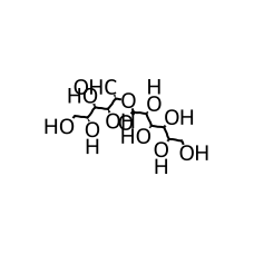 O=C[C@H](OC(=O)[C@H](O)[C@@H](O)[C@@H](O)[C@H](O)CO)[C@@H](O)[C@H](O)[C@H](O)CO